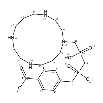 O=[N+]([O-])c1ccc(CP(=O)(O)CP(=O)(O)CN2CCCNCCNCCCNCC2)cc1